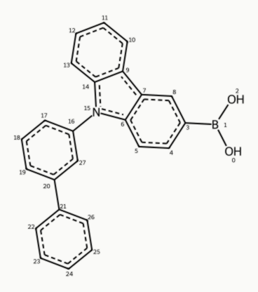 OB(O)c1ccc2c(c1)c1ccccc1n2-c1cccc(-c2ccccc2)c1